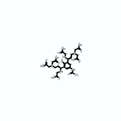 CC(=O)Nc1cc(C(CCN(CC(=O)O)CC(=O)O)NCC(=O)O)c(O)c(C(CCN(CC(=O)O)CC(=O)O)NCC(=O)O)c1